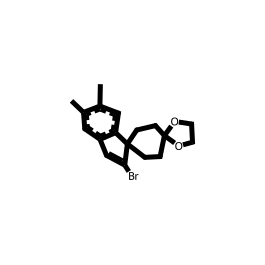 Cc1cc2c(cc1C)C1(CCC3(CC1)OCCO3)C(Br)=C2